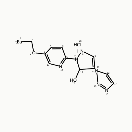 CC(C)(C)COc1ccc(N2NC=C(n3ccnn3)C2O)nc1.Cl